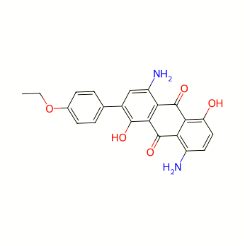 CCOc1ccc(-c2cc(N)c3c(c2O)C(=O)c2c(N)ccc(O)c2C3=O)cc1